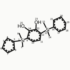 C[Si](C)(c1ccccc1)c1ccc([Si](C)(C)c2ccccc2)c(O)c1O